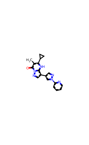 Cc1c(C2CC2)[nH]c2c(-c3cnn(-c4ccccn4)c3)cnn2c1=O